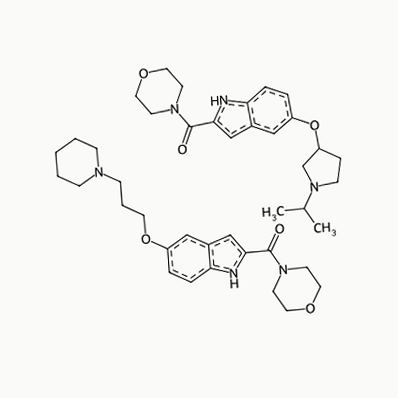 CC(C)N1CCC(Oc2ccc3[nH]c(C(=O)N4CCOCC4)cc3c2)C1.O=C(c1cc2cc(OCCCN3CCCCC3)ccc2[nH]1)N1CCOCC1